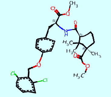 COC(=O)[C@H](Cc1ccc(OCc2c(Cl)cccc2Cl)cc1)NC(=O)[C@H]1CC[C@@](C)(C(=O)OC)C1(C)C